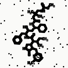 CCC(C)C(C(=O)NC(Cc1ccccc1)C(O)CN(NC(=O)CC(C)(C)CNC(=O)OC)C1CCCCC1)C1CNC(=O)N1Cc1cccc(C)n1